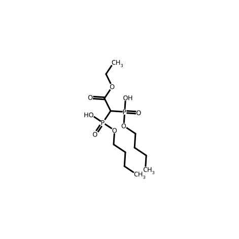 CCCCOP(=O)(O)C(C(=O)OCC)P(=O)(O)OCCCC